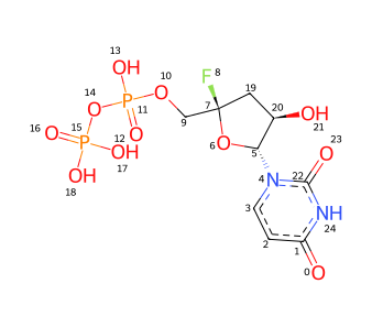 O=c1ccn([C@@H]2O[C@](F)(COP(=O)(O)OP(=O)(O)O)C[C@H]2O)c(=O)[nH]1